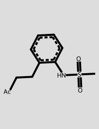 CC(=O)CCc1ccccc1NS(C)(=O)=O